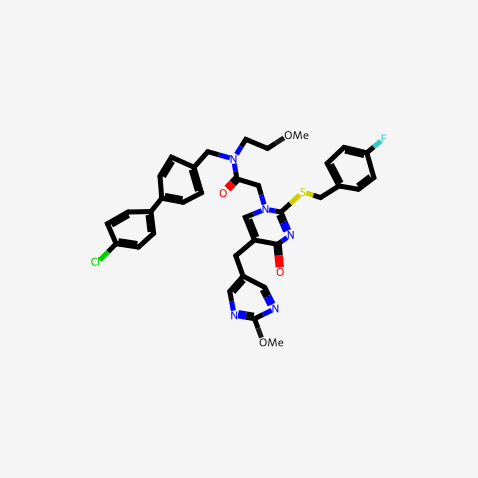 COCCN(Cc1ccc(-c2ccc(Cl)cc2)cc1)C(=O)Cn1cc(Cc2cnc(OC)nc2)c(=O)nc1SCc1ccc(F)cc1